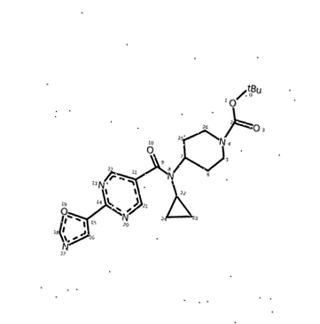 CC(C)(C)OC(=O)N1CCC(N(C(=O)c2cnc(-c3cnco3)nc2)C2CC2)CC1